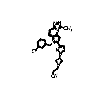 Cc1nnc2ccc3c(cc(-c4ccn(C5CN(CCC#N)C5)n4)n3Cc3cccc(Cl)c3)n12